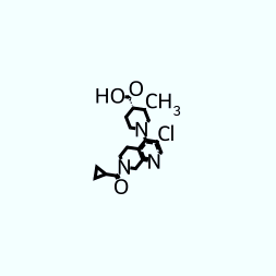 C[C@@H]1CN(c2c(Cl)cnc3c2CCN(C(=O)C2CC2)C3)CC[C@@H]1C(=O)O